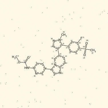 COC(=O)Nc1ccc(-c2cnc3ccc(-c4cnn(C)c4-c4ccc(S(C)(=O)=O)c(F)c4)cn23)cn1